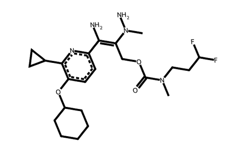 CN(CCC(F)F)C(=O)OC/C(=C(/N)c1ccc(OC2CCCCC2)c(C2CC2)n1)N(C)N